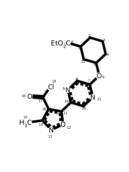 CCOC(=O)C1CCCC(Oc2cnc(-c3onc(C)c3C(=O)Cl)cn2)C1